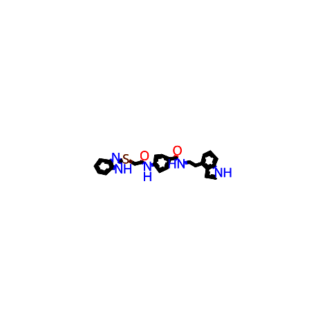 O=C(CSc1nc2ccccc2[nH]1)Nc1ccc(C(=O)NCCc2cccc3[nH]ccc23)cc1